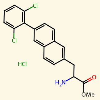 COC(=O)C(N)Cc1ccc2cc(-c3c(Cl)cccc3Cl)ccc2c1.Cl